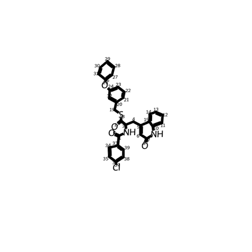 O=C(NC(Cc1cc(=O)[nH]c2ccccc12)C(=O)SCc1cccc(Oc2ccccc2)c1)c1ccc(Cl)cc1